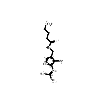 CC(=O)c1c(CNC(=O)CCCS(=O)(=O)O)c[nH]c1N=C(N)N